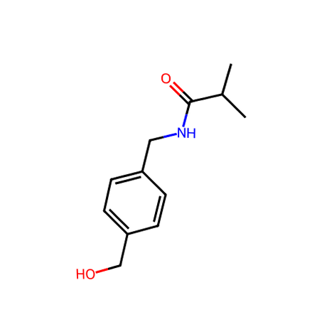 CC(C)C(=O)NCc1ccc(CO)cc1